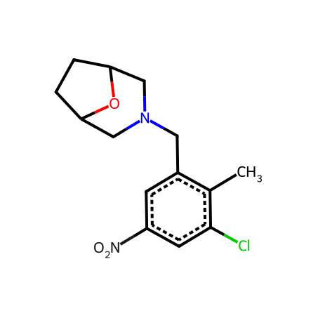 Cc1c(Cl)cc([N+](=O)[O-])cc1CN1CC2CCC(C1)O2